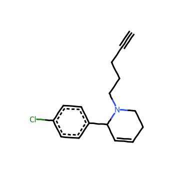 C#CCCCN1CCC=CC1c1ccc(Cl)cc1